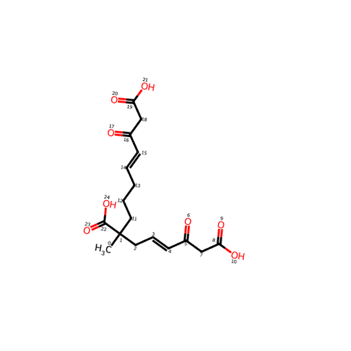 CC(CC=CC(=O)CC(=O)O)(CCCC=CC(=O)CC(=O)O)C(=O)O